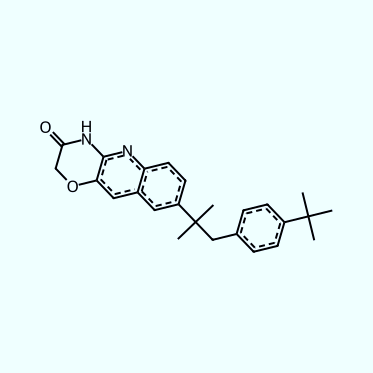 CC(C)(C)c1ccc(CC(C)(C)c2ccc3nc4c(cc3c2)OCC(=O)N4)cc1